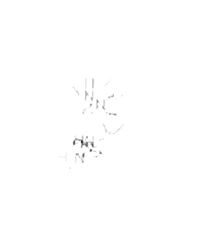 C=CNC(=O)N(C(=O)C=C)c1cccc(CNS(N)(=O)=O)c1